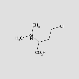 C[SiH](C)C(CCCl)C(=O)O